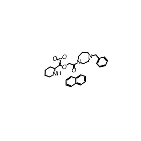 O=C(COC(C1CCCCN1)=S(=O)=O)N1CCCN(Cc2ccccc2)CC1.c1ccc2ccccc2c1